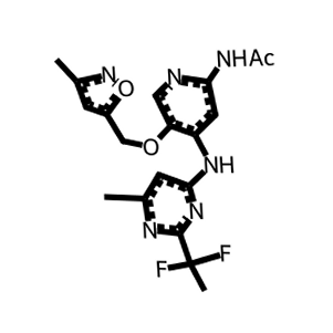 CC(=O)Nc1cc(Nc2cc(C)nc(C(C)(F)F)n2)c(OCc2cc(C)no2)cn1